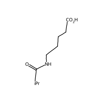 CC(C)C(=O)NCCCCC(=O)O